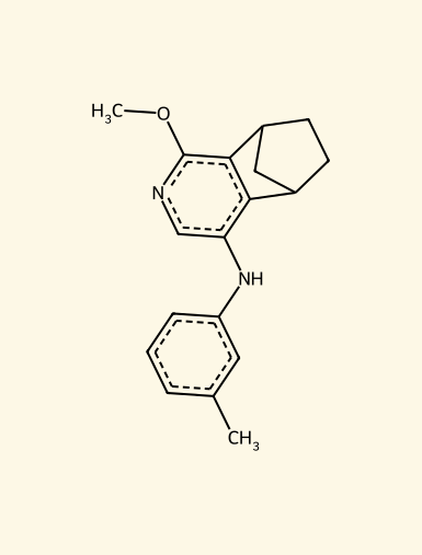 COc1ncc(Nc2cccc(C)c2)c2c1C1CCC2C1